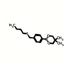 CCCCSCc1ccc(B2OCC(C)(C)CO2)cc1